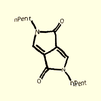 CCCCCN1C=C2C(=O)N(CCCCC)C=C2C1=O